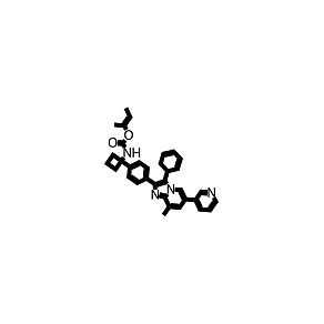 C/C=C(\C)OC(=O)NC1(c2ccc(-c3nc4c(C)cc(-c5cccnc5)cn4c3C3C=CC=CC3)cc2)CCC1